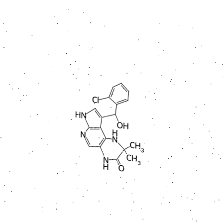 CC1(C)Nc2c(cnc3[nH]cc(C(O)c4ccccc4Cl)c23)NC1=O